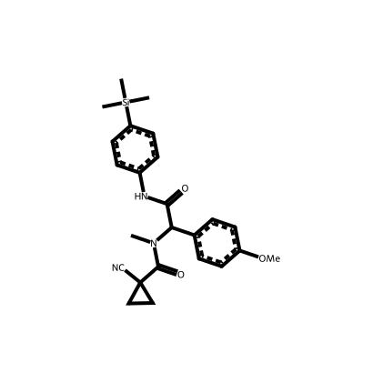 COc1ccc(C(C(=O)Nc2ccc([Si](C)(C)C)cc2)N(C)C(=O)C2(C#N)CC2)cc1